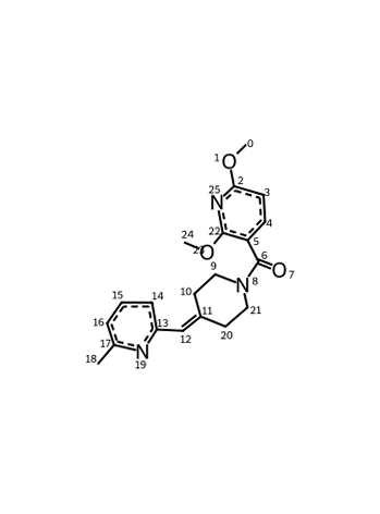 COc1ccc(C(=O)N2CCC(=Cc3cccc(C)n3)CC2)c(OC)n1